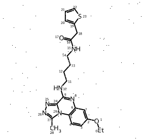 CCOc1ccc2c(c1)nc(NCCCCNC(=O)Cc1cccs1)c1nnc(C)n12